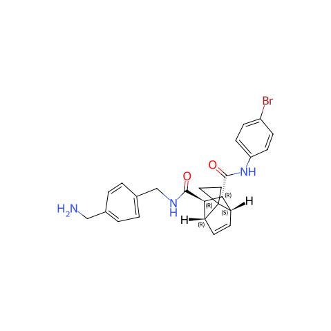 NCc1ccc(CNC(=O)[C@H]2[C@H](C(=O)Nc3ccc(Br)cc3)[C@@H]3C=C[C@H]2C32CC2)cc1